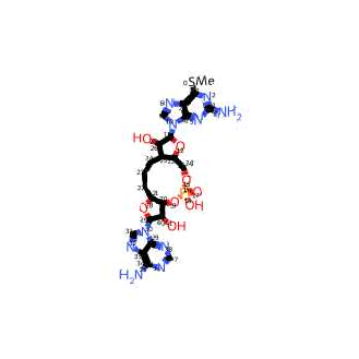 CSc1nc(N)nc2c1ncn2C1OC2COP(=O)(O)OC3C(CCCC2C1O)OC(n1cnc2c(N)ncnc21)C3O